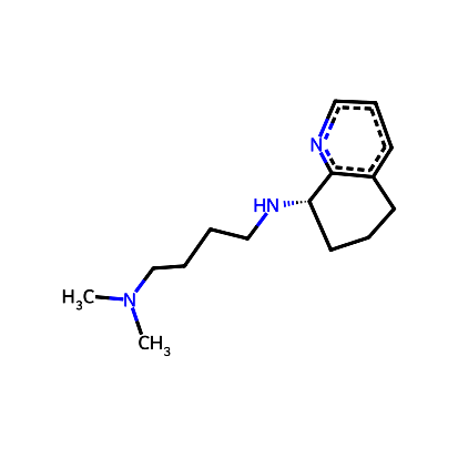 CN(C)CCCCN[C@H]1CCCc2cccnc21